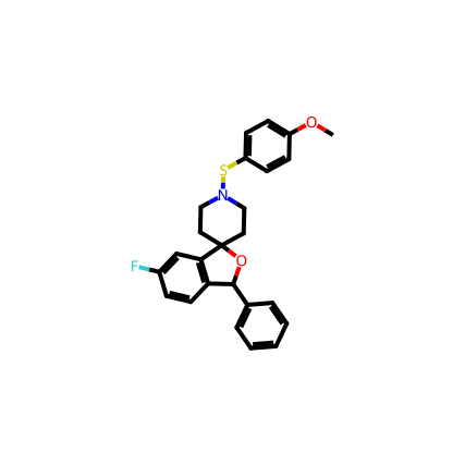 COc1ccc(SN2CCC3(CC2)OC(c2ccccc2)c2ccc(F)cc23)cc1